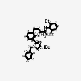 CCc1cccc(CC)c1/N=C(\C)c1ccc2cccc(C3=NC([C@@H](C)CC)CN3Cc3ccccc3)c2n1